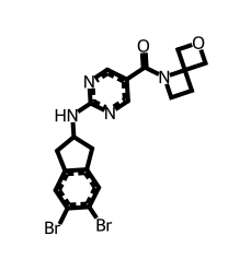 O=C(c1cnc(NC2Cc3cc(Br)c(Br)cc3C2)nc1)N1CCC12COC2